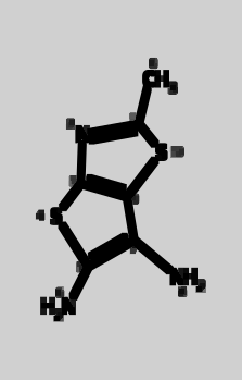 Cc1nc2sc(N)c(N)c2s1